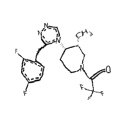 C[C@@H]1CN(C(=O)C(F)(F)F)CC[C@@H]1n1cnnc1-c1ccc(F)cc1F